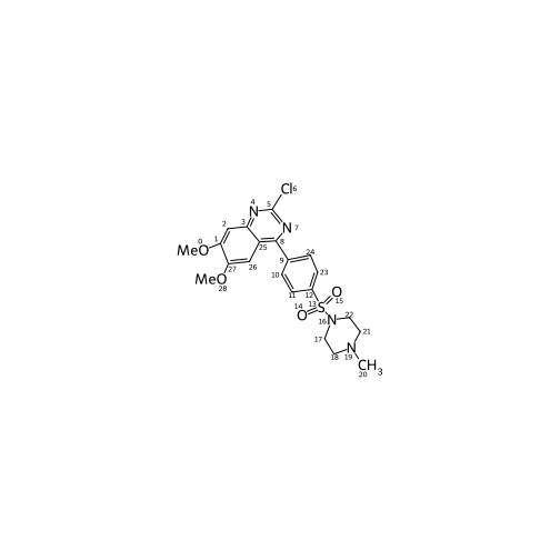 COc1cc2nc(Cl)nc(-c3ccc(S(=O)(=O)N4CCN(C)CC4)cc3)c2cc1OC